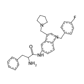 NC(Cc1ccccc1)C(=O)Nc1ccc2c(c1)c(CN1CCCC1)cn2Cc1ccc(F)cc1